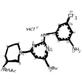 CCCCc1cc(N2CCCC(NC(C)=O)C2)nc(Nc2cc(N)cc(C(F)(F)F)c2)n1.Cl